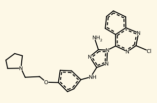 Nc1nc(Nc2ccc(OCCN3CCCC3)cc2)nn1-c1nc(Cl)nc2ccccc12